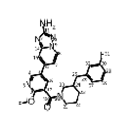 COc1ncc(-c2ccn3nc(N)nc3c2)cc1C(=O)N1CCCC(Cc2cccc(F)c2)C1